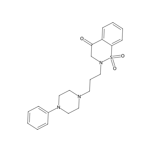 O=C1CN(CCCN2CCN(c3ccccc3)CC2)S(=O)(=O)c2ccccc21